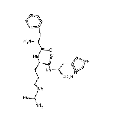 N=C(N)NCCC[C@@H](NC(=O)[C@@H](N)Cc1ccccc1)C(=O)N[C@@H](Cc1c[nH]cn1)C(=O)O